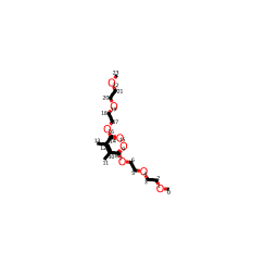 COCCOCCOC(=O)/C(C)=C(/C)C(=O)OCCOCCOC